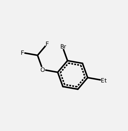 CCc1ccc(OC(F)F)c(Br)c1